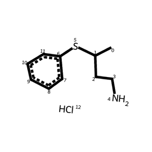 CC(CCN)Sc1ccccc1.Cl